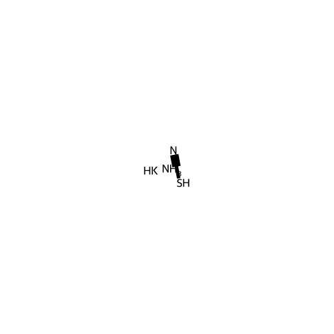 N.N#CS.[KH]